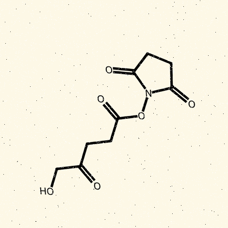 O=C(CO)CCC(=O)ON1C(=O)CCC1=O